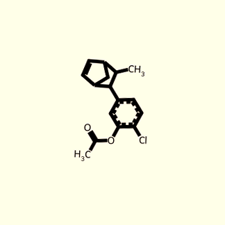 CC(=O)Oc1cc(C2C3C=CC(C3)C2C)ccc1Cl